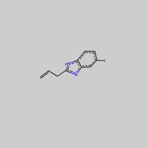 C=CCc1nc2cc(I)ccc2[nH]1